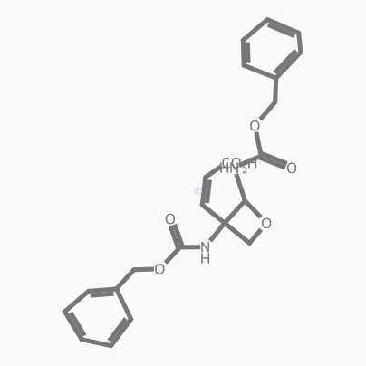 O=C(O)/C=C\C1(NC(=O)OCc2ccccc2)COC1NC(=O)OCc1ccccc1